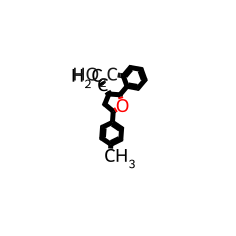 C=C=C1CC(c2ccc(C)cc2)OC1c1ccccc1C(=O)O